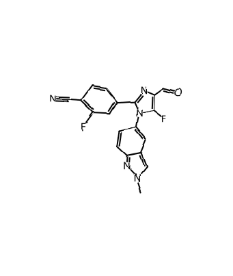 Cn1cc2cc(-n3c(-c4ccc(C#N)c(F)c4)nc(C=O)c3F)ccc2n1